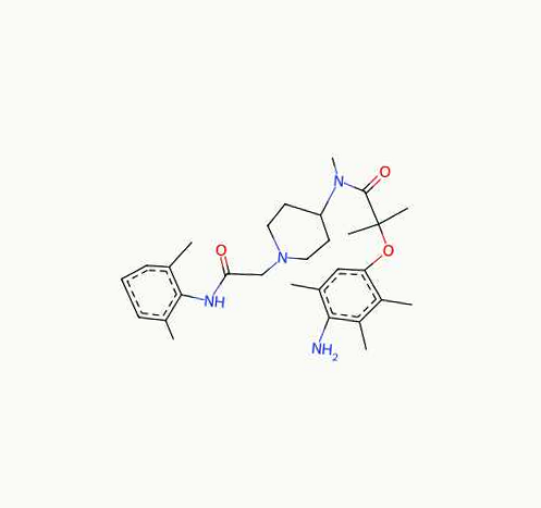 Cc1cc(OC(C)(C)C(=O)N(C)C2CCN(CC(=O)Nc3c(C)cccc3C)CC2)c(C)c(C)c1N